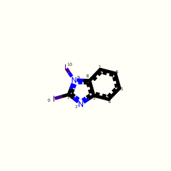 Ic1nc2ccccc2n1I